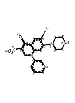 O=C(O)c1cn(-c2cccnc2)c2cc(N3CCNCC3)c(F)cc2c1=O